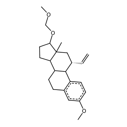 C=C[C@H]1CC2(C)C(OCOC)CCC2C2CCc3cc(OC)ccc3C21